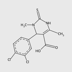 CC1=C(C(=O)O)C(c2ccc(Cl)c(Cl)c2)N(C)C(=S)N1